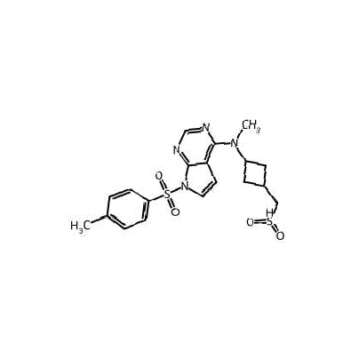 Cc1ccc(S(=O)(=O)n2ccc3c(N(C)C4CC(C[SH](=O)=O)C4)ncnc32)cc1